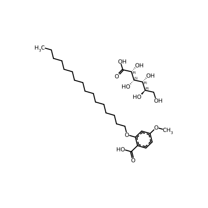 CCCCCCCCCCCCCCCCOc1cc(OC)ccc1C(=O)O.O=C(O)[C@H](O)[C@@H](O)[C@H](O)[C@H](O)CO